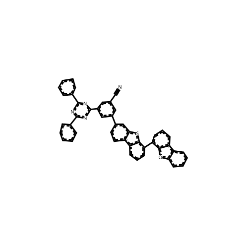 N#Cc1cc(-c2ccc3c(c2)sc2c(-c4cccc5c4oc4ccccc45)cccc23)cc(-c2nc(-c3ccccc3)nc(-c3ccccc3)n2)c1